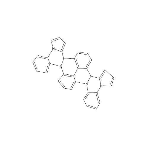 c1cc2c3c(c1)C1c4cccn4-c4ccccc4N1c1cccc(c1-3)N1c3ccccc3-n3cccc3C21